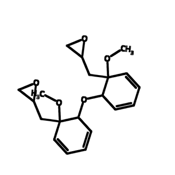 COC1(CC2CO2)C=CC=CC1OC1C=CC=CC1(CC1CO1)OC